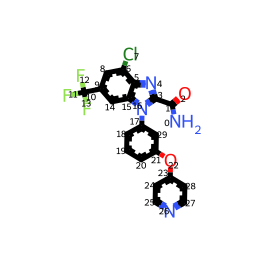 NC(=O)c1nc2c(Cl)cc(C(F)(F)F)cc2n1-c1cccc(Oc2ccncc2)c1